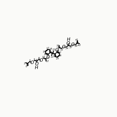 C=C(C)COCC(O)COCC(C)Oc1ccccc1C(C)(C)c1ccccc1OC(C)COCC(O)COCC(=C)C